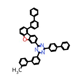 Cc1cccc(-c2cccc(-c3nc(-c4ccc(-c5ccccc5)cc4)nc(-c4ccc5c(c4)oc4cccc(-c6cccc(-c7ccccc7)c6)c45)n3)c2)c1